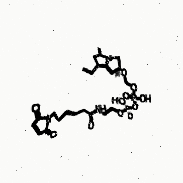 CCC1CC(C)N2C[C@H](OCOP(=O)(O)OP(=O)(O)OCCNC(=O)CCCCCN3C(=O)C=CC3=O)CC12